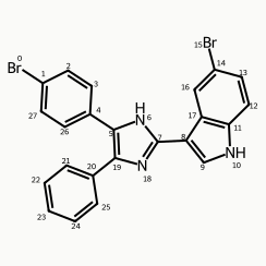 Brc1ccc(-c2[nH]c(-c3c[nH]c4ccc(Br)cc34)nc2-c2ccccc2)cc1